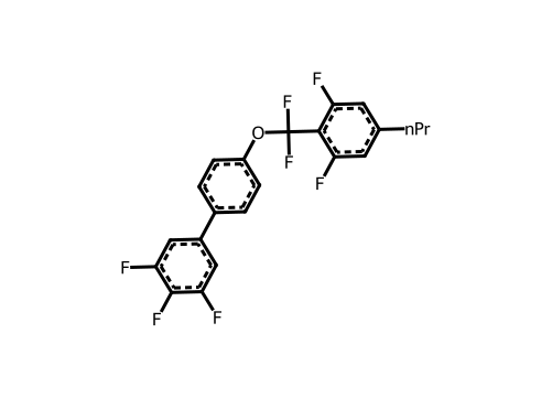 CCCc1cc(F)c(C(F)(F)Oc2ccc(-c3cc(F)c(F)c(F)c3)cc2)c(F)c1